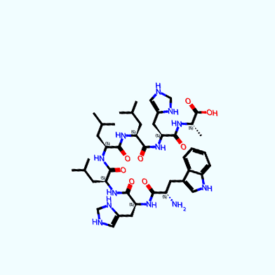 CC(C)C[C@H](NC(=O)[C@H](CC(C)C)NC(=O)[C@H](CC(C)C)NC(=O)[C@H](CC1=CNCN1)NC(=O)[C@@H](N)Cc1c[nH]c2ccccc12)C(=O)N[C@@H](CC1=CNCN1)C(=O)N[C@@H](C)C(=O)O